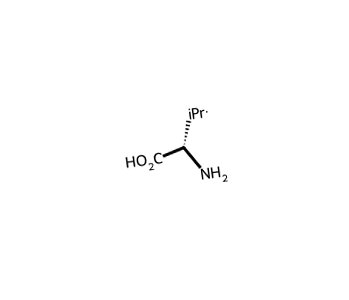 C[C](C)[C@H](N)C(=O)O